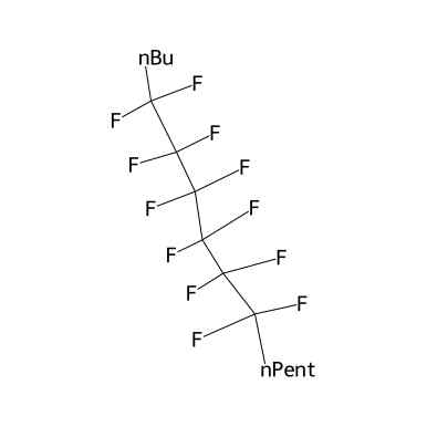 CCCCCC(F)(F)C(F)(F)C(F)(F)C(F)(F)C(F)(F)C(F)(F)CCCC